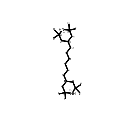 CC1(C)CC(CCCCCCC2CC(C)(C)NC(C)(C)C2)CC(C)(C)N1